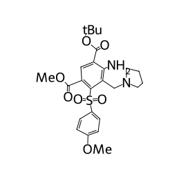 COC(=O)c1cc(C(=O)OC(C)(C)C)c(N)c(CN2CCCC2)c1S(=O)(=O)c1ccc(OC)cc1